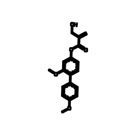 C=C(CO)C(=O)Oc1ccc(-c2ccc(OC)cc2)c(OC)c1